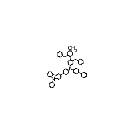 C[C@H]1C=CC(c2ccc(N(C3=CC=C(c4ccc5c(c4)c4ccccc4n5-c4ccccc4)CC3)c3ccc(-c4ccccc4)cc3)cc2Cc2ccccc2)=C(Cc2ccccc2)C1